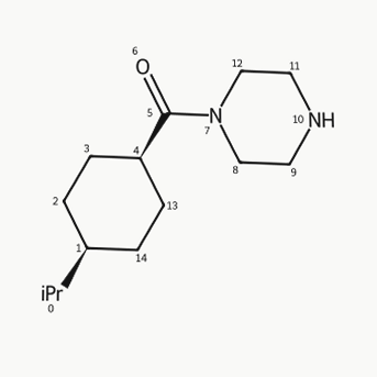 CC(C)[C@H]1CC[C@@H](C(=O)N2CCNCC2)CC1